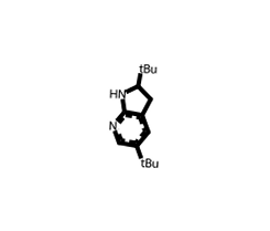 CC(C)(C)c1cnc2c(c1)CC(C(C)(C)C)N2